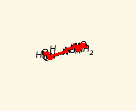 Nc1ncnc2c1c(-c1ccc(Oc3ccccc3)cc1)nn2[C@@H]1CCCN(C(=O)CCCN2CCN(CCCCCCCCCCCNc3cccc4c3CN(C3CCC(=O)NC3=O)C4=O)CC2)C1